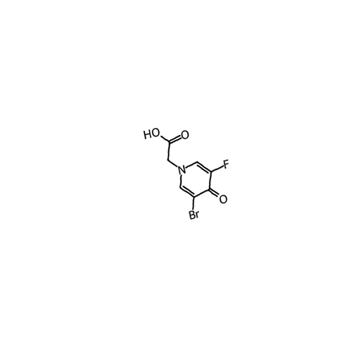 O=C(O)Cn1cc(F)c(=O)c(Br)c1